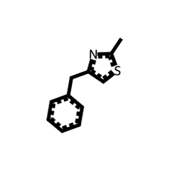 Cc1nc(Cc2ccccc2)cs1